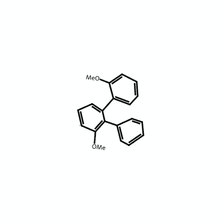 COc1[c]ccc(-c2ccccc2OC)c1-c1ccccc1